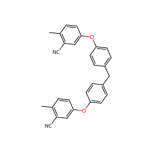 Cc1ccc(Oc2ccc(Cc3ccc(Oc4ccc(C)c(C#N)c4)cc3)cc2)cc1C#N